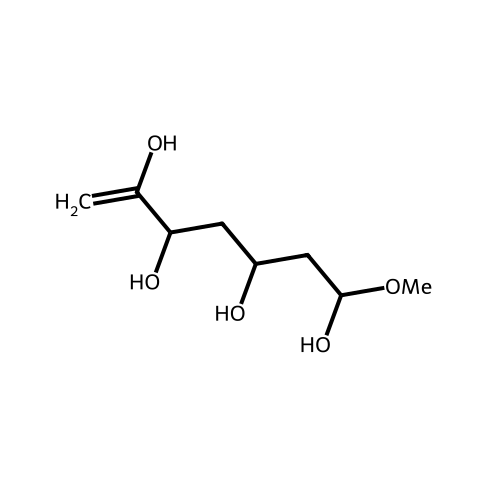 C=C(O)C(O)CC(O)CC(O)OC